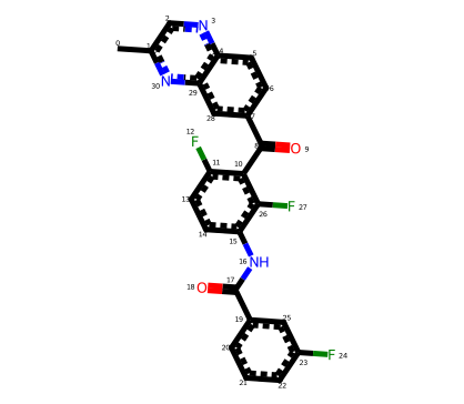 Cc1cnc2ccc(C(=O)c3c(F)ccc(NC(=O)c4cccc(F)c4)c3F)cc2n1